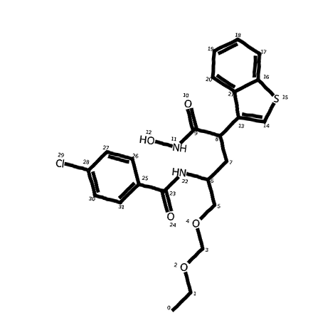 CCOCOCC(CC(C(=O)NO)c1csc2ccccc12)NC(=O)c1ccc(Cl)cc1